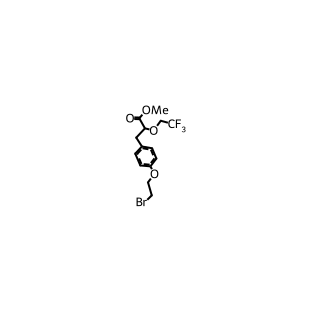 COC(=O)C(Cc1ccc(OCCBr)cc1)OCC(F)(F)F